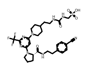 N#Cc1ccc(CCNC(=O)[C@@H]2CCCN2c2cc(N3CCC(CCNC(=O)NCS(=O)(=O)O)CC3)nc(C(F)(F)F)n2)cc1